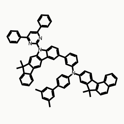 Cc1cc(C)cc(-c2ccc(N(c3cccc(-c4ccc5c(c4)c4cc6c(cc4n5-c4nc(-c5ccccc5)cc(-c5ccccc5)n4)C(C)(C)c4ccccc4-6)c3)c3ccc4c(c3)C(C)(C)c3ccc5ccccc5c3-4)cc2)c1